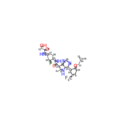 Cc1[nH]c2c(-c3cc(C(F)(F)F)ccc3OCC3CC3)ncnc2c1C(=O)NC1CCC(NC(=O)CO)CC1F